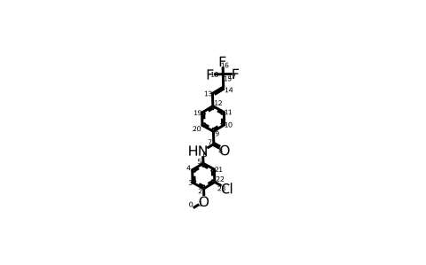 COc1ccc(NC(=O)c2ccc(/C=C/C(F)(F)F)cc2)cc1Cl